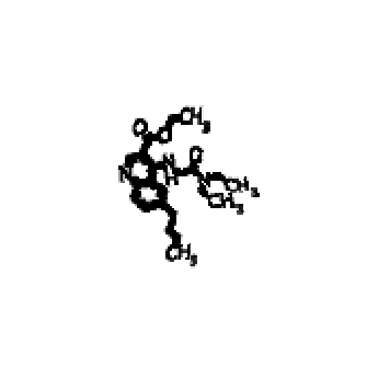 CCCCc1ccc2ncc(C(=O)OCC)c(NCC(=O)N(CC)CC)c2c1